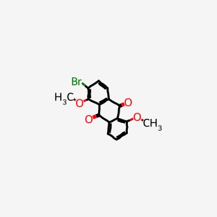 COc1cccc2c1C(=O)c1ccc(Br)c(OC)c1C2=O